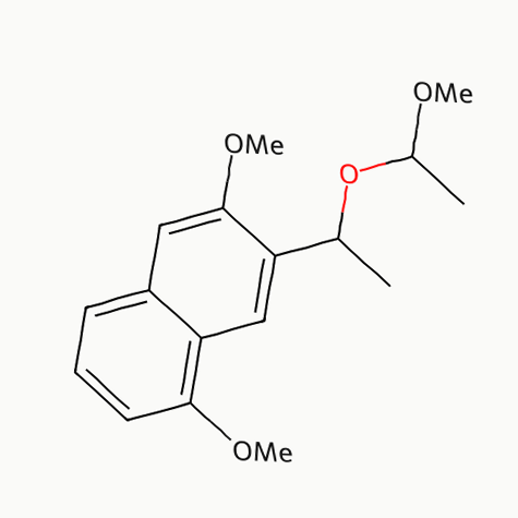 COc1cc2cccc(OC)c2cc1C(C)OC(C)OC